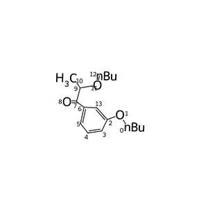 CCCCOc1cccc(C(=O)C(C)OCCCC)c1